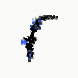 C=C(Nc1ccc(CN2CCN(C)CC2)cc1)c1ccc(C)c(C#Cc2cnc(Nc3cn(CCCOC)nc3C)nc2)c1